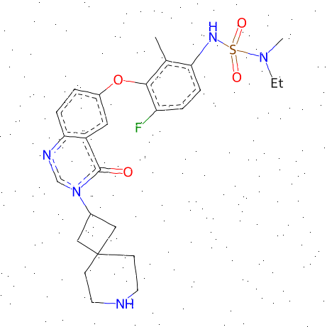 CCN(C)S(=O)(=O)Nc1ccc(F)c(Oc2ccc3ncn(C4CC5(CCNCC5)C4)c(=O)c3c2)c1C